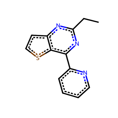 CCc1nc(-c2ccccn2)c2sccc2n1